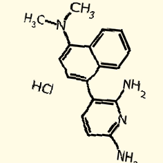 CN(C)c1ccc(-c2ccc(N)nc2N)c2ccccc12.Cl